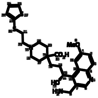 COc1ccc2ncc(CN)c([C@@H](O)CCC3(C(=O)O)CCN(CCSc4cccs4)CC3)c2c1